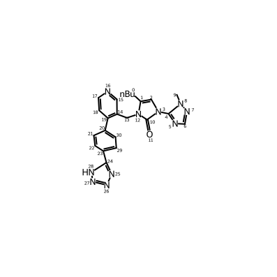 CCCCc1cn(-c2ncnn2C)c(=O)n1Cc1cnccc1-c1ccc(-c2nnn[nH]2)cc1